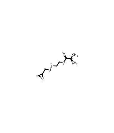 C=C(C)C(=O)OCCOOCC1CO1